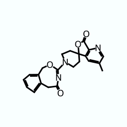 Cc1cnc2c(c1)C1(CCN(/C3=N/C(=O)Cc4ccccc4CO3)CC1)OC2=O